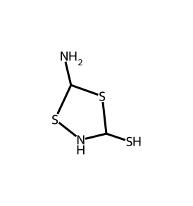 NC1SNC(S)S1